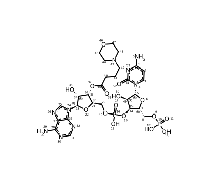 Nc1ccn([C@@H]2O[C@H](COP(=O)(O)O)[C@@H](OP(=O)(O)OC[C@H]3O[C@@H](n4cnc5c(N)ncnc54)[C@H](O)[C@@H]3OC(=O)CCCN3CCOCC3)[C@H]2O)c(=O)n1